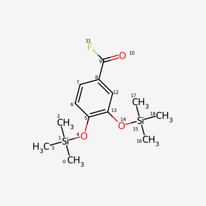 C[Si](C)(C)Oc1ccc(C(=O)F)cc1O[Si](C)(C)C